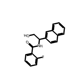 O=C(NC(CO)c1ccc2ccccc2c1)c1ccccc1F